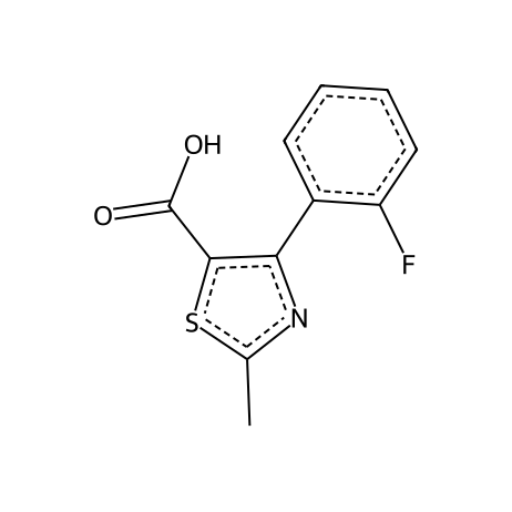 Cc1nc(-c2ccccc2F)c(C(=O)O)s1